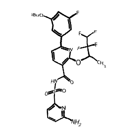 CC(C)COc1cc(F)cc(-c2ccc(C(=O)NS(=O)(=O)c3cccc(N)n3)c(OC(C)C(F)(F)C(F)F)n2)c1